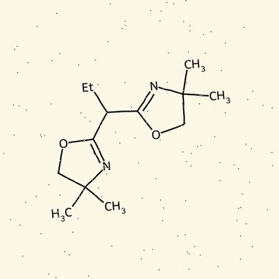 CCC(C1=NC(C)(C)CO1)C1=NC(C)(C)CO1